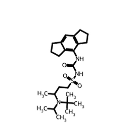 CC(C)N(C(C)CCS(=O)(=O)NC(=O)Nc1c2c(cc3c1CCC3)CCC2)C(C)(C)C